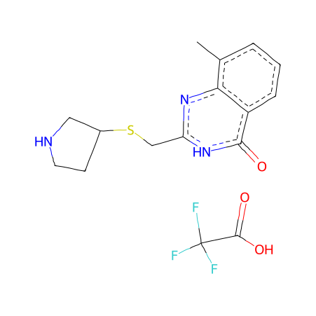 Cc1cccc2c(=O)[nH]c(CSC3CCNC3)nc12.O=C(O)C(F)(F)F